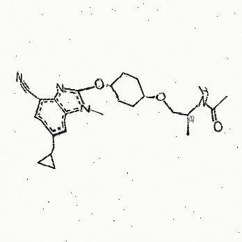 CC(=O)N[C@@H](C)CO[C@H]1CC[C@H](Oc2nc3c(C#N)cc(C4CC4)cc3n2C)CC1